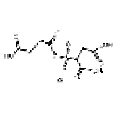 O=C(O)CCC(=O)OS(=O)(=O)C(CC(=O)O)C(=O)O.[Zr]